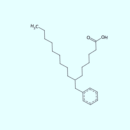 CCCCCCCCCC(CCCCCC(=O)O)Cc1ccccc1